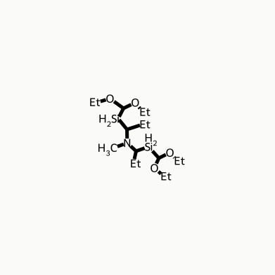 CCOC(OCC)[SiH2]C(CC)N(C)C(CC)[SiH2]C(OCC)OCC